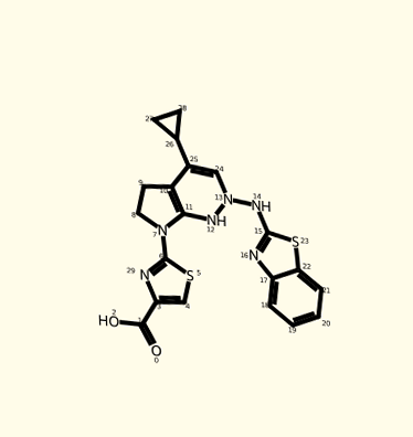 O=C(O)c1csc(N2CCC3=C2NN(Nc2nc4ccccc4s2)C=C3C2CC2)n1